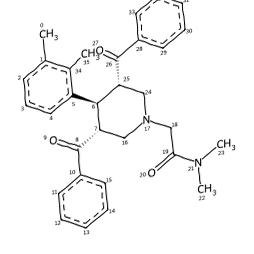 Cc1cccc([C@@H]2[C@@H](C(=O)c3ccccc3)CN(CC(=O)N(C)C)C[C@H]2C(=O)c2ccccc2)c1C